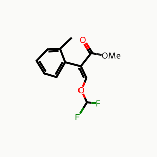 COC(=O)/C(=C/OC(F)F)c1ccccc1C